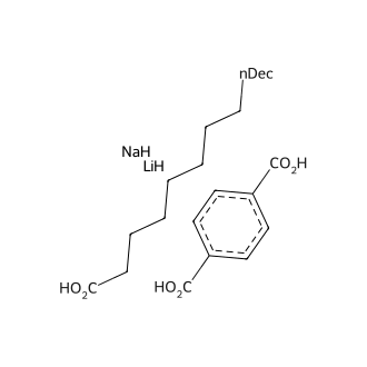 CCCCCCCCCCCCCCCCCC(=O)O.O=C(O)c1ccc(C(=O)O)cc1.[LiH].[NaH]